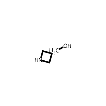 C1CNC1.CO